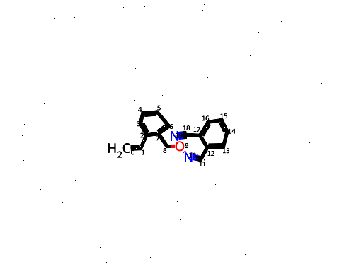 C=Cc1ccccc1CO/N=[C]\c1ccccc1C#N